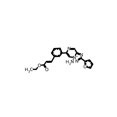 CCOC(=O)C=Cc1cccc(C2=C[N+]3(N)N=C(c4ccco4)N=C3C=N2)c1